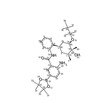 C[C@H]1C[C@@H](c2ccncc2NC(=O)c2nc(B3OC(C)(C)C(C)(C)O3)ccc2N)C[C@@H](O[Si](C)(C)C(C)(C)C)[C@]1(C)O